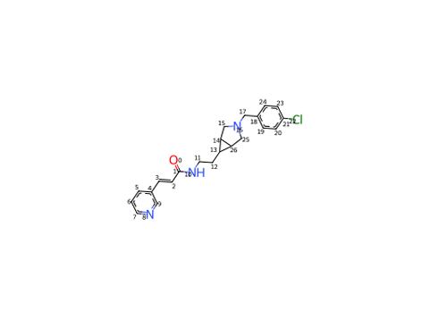 O=C(/C=C/c1cccnc1)NCCC1C2CN(Cc3ccc(Cl)cc3)CC12